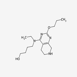 CCCOc1nc2c(c(N(CC)CCCCO)n1)CCNC2